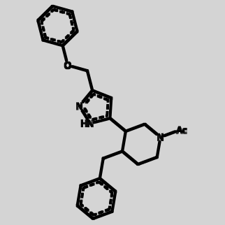 [CH2]C(=O)N1CCC(Cc2ccccc2)C(c2cc(COc3ccccc3)n[nH]2)C1